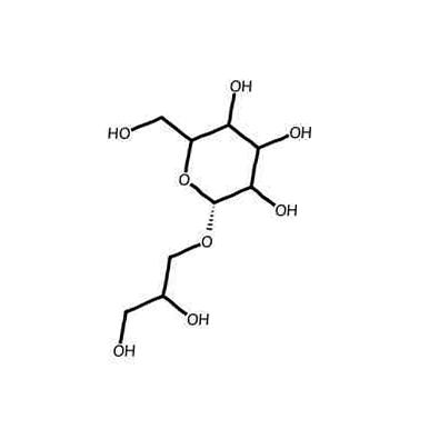 OCC(O)CO[C@@H]1OC(CO)C(O)C(O)C1O